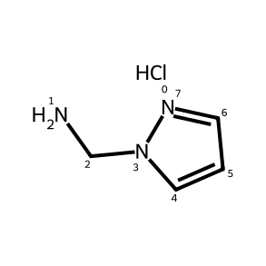 Cl.NCn1cccn1